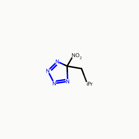 CC(C)CC1([N+](=O)[O-])N=NN=N1